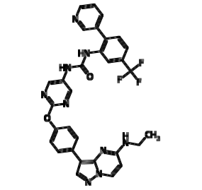 CCNc1ccn2ncc(-c3ccc(Oc4ncc(NC(=O)Nc5cc(C(F)(F)F)ccc5-c5cccnc5)cn4)cc3)c2n1